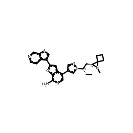 CC[C@@H](C[C@@H]1N(C)C12CCC2)n1cc(-c2cnc(N)c3oc(-c4csc5cnccc45)cc23)cn1